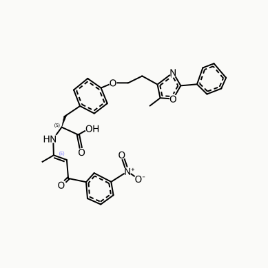 C/C(=C\C(=O)c1cccc([N+](=O)[O-])c1)N[C@@H](Cc1ccc(OCCc2nc(-c3ccccc3)oc2C)cc1)C(=O)O